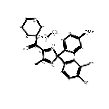 COc1ccc(C2(c3ccc(Br)c(F)c3)N=C(C)C(C(=O)[C@@]3(NC(=O)O)CCCNC3)=N2)cc1